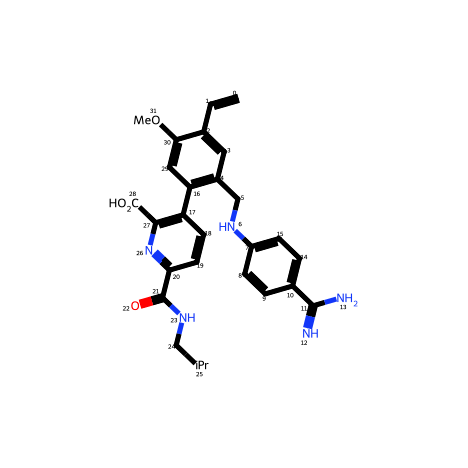 C=Cc1cc(CNc2ccc(C(=N)N)cc2)c(-c2ccc(C(=O)NCC(C)C)nc2C(=O)O)cc1OC